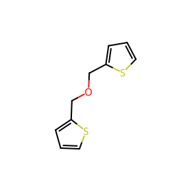 c1csc(COCc2cccs2)c1